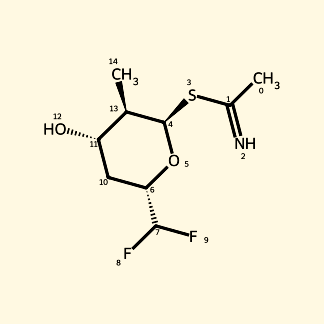 CC(=N)S[C@H]1O[C@H](C(F)F)C[C@H](O)[C@H]1C